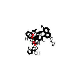 COCOc1cc(-c2ncc3c(N4C[C@H]5CC[C@@H](C4)N5C(=O)OC(C)(C)C)nc(OC[C@@]4(C(=O)O)CCCN4C)nc3c2F)c2c(C#C[Si](C(C)C)(C(C)C)C(C)C)c(F)ccc2c1